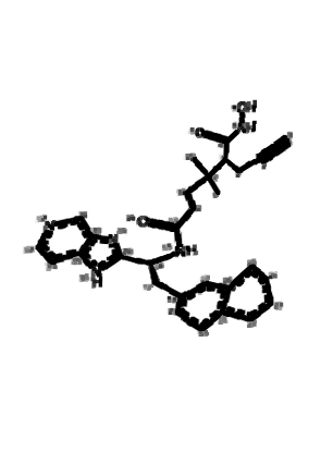 C#CC[C@H](C(=O)NO)C(C)(C)CCC(=O)N[C@@H](Cc1ccc2ccccc2c1)c1nc2cnccc2[nH]1